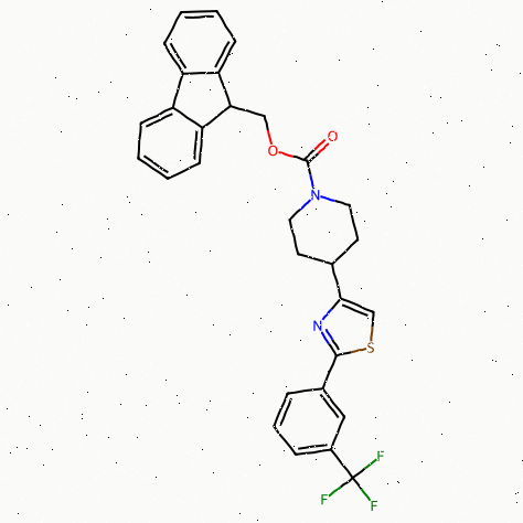 O=C(OCC1c2ccccc2-c2ccccc21)N1CCC(c2csc(-c3cccc(C(F)(F)F)c3)n2)CC1